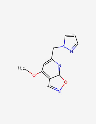 COc1cc(Cn2cccn2)nc2on[c]c12